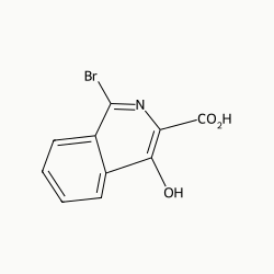 O=C(O)c1nc(Br)c2ccccc2c1O